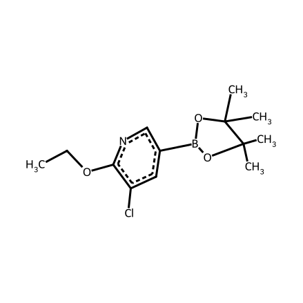 CCOc1ncc(B2OC(C)(C)C(C)(C)O2)cc1Cl